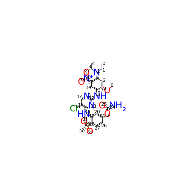 CCN(CC)c1cc(OC)c(Nc2ncc(Cl)c(Nc3cc(OC(N)=O)ccc3S(C)(=O)=O)n2)cc1[N+](=O)[O-]